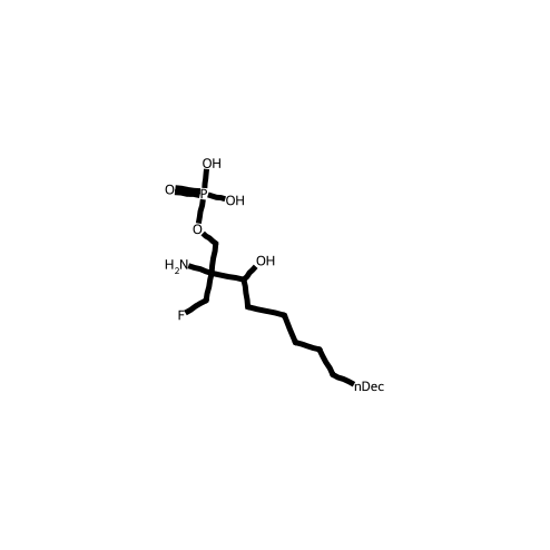 CCCCCCCCCCCCCCCC(O)C(N)(CF)COP(=O)(O)O